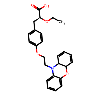 CCO[C@@H](Cc1ccc(OCCN2c3ccccc3OC3C=CC=CC32)cc1)C(=O)O